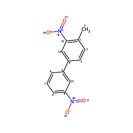 Cc1ccc(-c2cccc([N+](=O)[O-])c2)cc1[N+](=O)[O-]